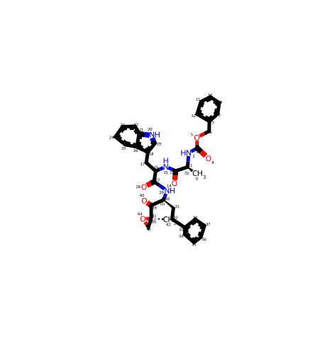 C[C@H](NC(=O)OCc1ccccc1)C(=O)NC(Cc1c[nH]c2ccccc12)C(=O)N[C@@H](CCc1ccccc1)C(=O)[C@@]1(C)CO1